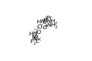 CC(C(=O)Nc1cc(C(C)(C)C(F)(F)F)n(C)n1)c1ccc(C2NN(C(C)C)C(N)=C2C(N)=O)cc1